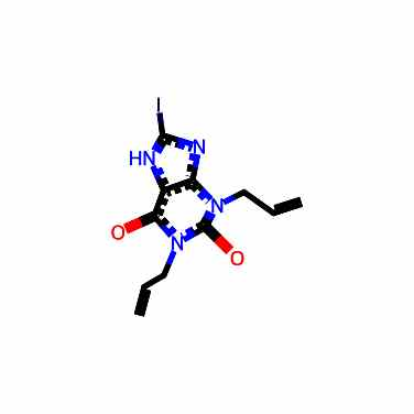 C=CCn1c(=O)c2[nH]c(I)nc2n(CC=C)c1=O